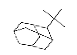 CC(C)(C)C1C2CC3CC(C2)CC1C3